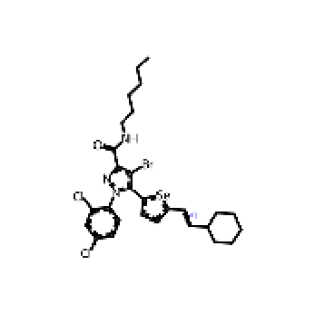 CCCCCCNC(=O)c1nn(-c2ccc(Cl)cc2Cl)c(-c2ccc(/C=C/C3CCCCC3)[se]2)c1Br